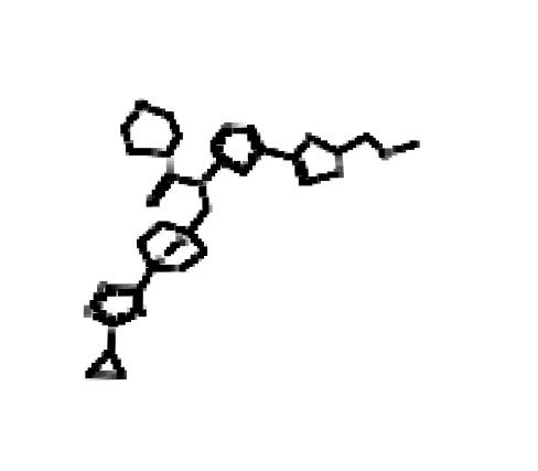 COCC1NC(c2cccc(N(CC34CCC(c5nc(C6CC6)no5)(CC3)CC4)C(=O)C3CCOCC3)c2)=CS1